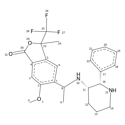 COc1cc2c(cc1C(C)N[C@H]1CCCN[C@H]1c1ccccc1)C(C)(C(F)(F)F)OC2=O